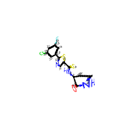 O=C1NCCC1NC(=S)c1cnc(-c2cc(F)cc(Cl)c2)s1